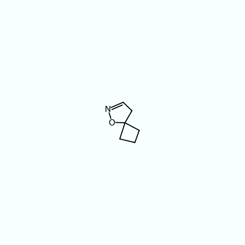 C1=NOC2(C1)CCC2